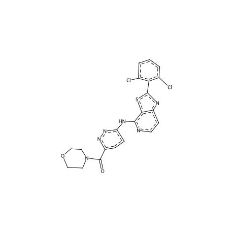 O=C(c1ccc(Nc2nccc3nc(-c4c(Cl)cccc4Cl)sc23)nn1)N1CCOCC1